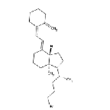 C=C1CCCC/C1=C/C=C1\CCC[C@]2(C)[C@@H]([C@H](C)CCCC(C)C)CC[C@@H]12